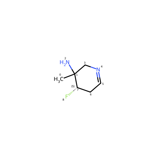 CC1(N)CN=CC[C@@H]1F